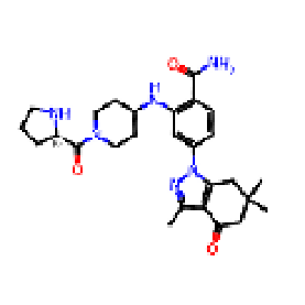 Cc1nn(-c2ccc(C(N)=O)c(NC3CCN(C(=O)[C@H]4CCCN4)CC3)c2)c2c1C(=O)CC(C)(C)C2